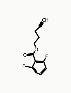 C#CCCCOC(=O)c1c(F)cccc1F